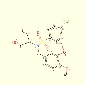 CCC(CO)N(Cc1ccc(OC)c(OC)c1)S(=O)(=O)c1ccc(Cl)cc1